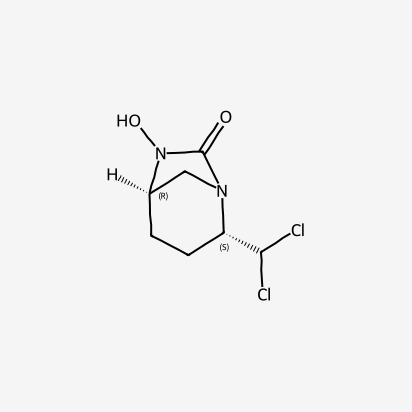 O=C1N(O)[C@@H]2CC[C@@H](C(Cl)Cl)N1C2